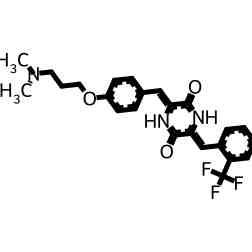 CN(C)CCCOc1ccc(C=c2[nH]c(=O)c(=Cc3ccccc3C(F)(F)F)[nH]c2=O)cc1